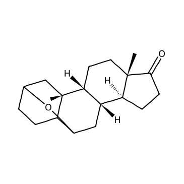 C[C@]12CC3CCC1C(C[C@@H]1[C@H]2CC[C@]2(C)C(=O)CC[C@@H]12)O3